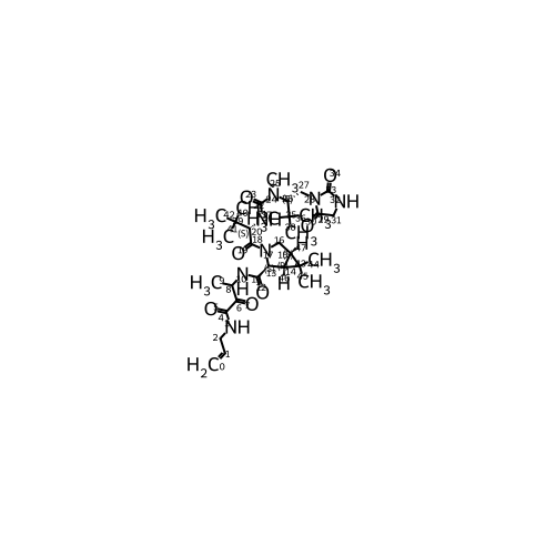 C=CCNC(=O)C(=O)C(C)NC(=O)[C@@H]1[C@@H]2[C@H](CN1C(=O)[C@@H](NC(=O)N(C)[C@H](CN1C(=O)CNC1=O)C(C)(C)C)C(C)(C)C)C2(C)C